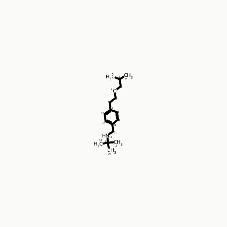 CC(C)COCCc1ccc(CNC(C)(C)C)cc1